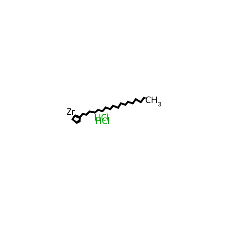 CCCCCCCCCCCCCCCCCCC1=[C]([Zr])CC=C1.Cl.Cl